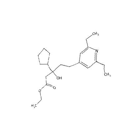 CCOC(=O)CC(O)(CCc1cc(CC)nc(CC)c1)C1CCCC1